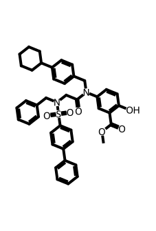 COC(=O)c1cc(N(Cc2ccc(C3CCCCC3)cc2)C(=O)CN(Cc2ccccc2)S(=O)(=O)c2ccc(-c3ccccc3)cc2)ccc1O